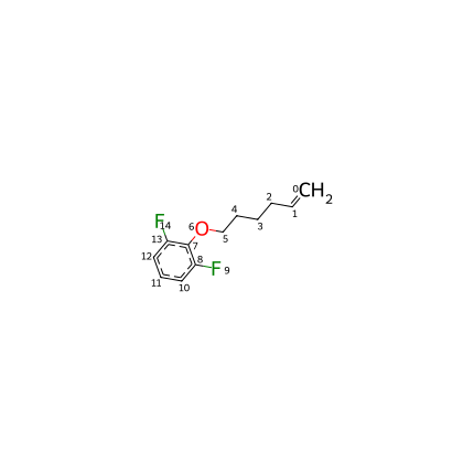 C=CCCCCOc1c(F)cccc1F